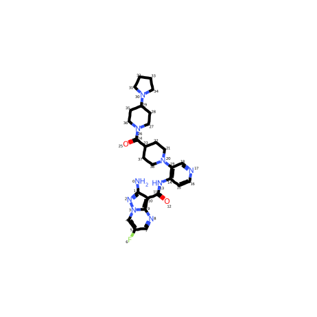 Nc1nn2cc(F)cnc2c1C(=O)Nc1ccncc1N1CCC(C(=O)N2CCC(N3CCCC3)CC2)CC1